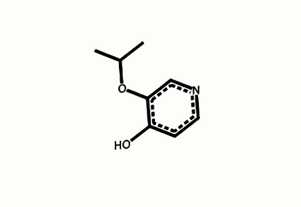 CC(C)Oc1cnccc1O